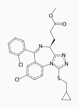 COC(=O)CC[C@@H]1N=C(c2ccccc2Cl)c2cc(Cl)ccc2-n2c(SCC3CC3)nnc21